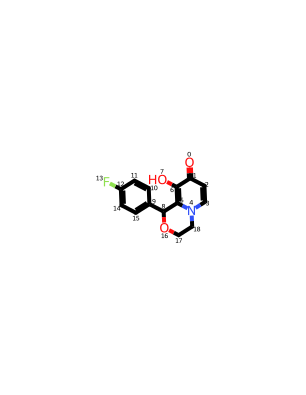 O=c1ccn2c(c1O)C(c1ccc(F)cc1)OCC2